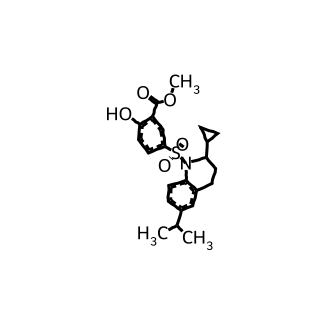 COC(=O)c1cc(S(=O)(=O)N2c3ccc(C(C)C)cc3CCC2C2CC2)ccc1O